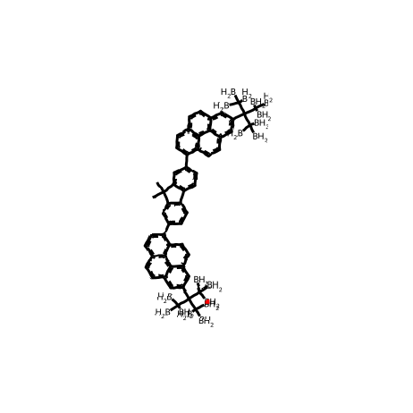 BC(B)(B)C(c1cc2ccc3ccc(-c4ccc5c(c4)C(C)(C)c4cc(-c6ccc7ccc8cc(C(C(B)(B)B)(C(B)(B)B)C(B)(B)B)cc9ccc6c7c89)ccc4-5)c4ccc(c1)c2c34)(C(B)(B)B)C(B)(B)B